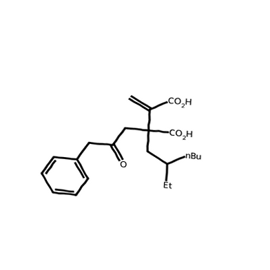 C=C(C(=O)O)C(CC(=O)Cc1ccccc1)(CC(CC)CCCC)C(=O)O